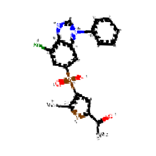 COC(=O)c1cc(S(=O)(=O)c2cc(Br)c3ncn(-c4ccccc4)c3c2)c(SC)s1